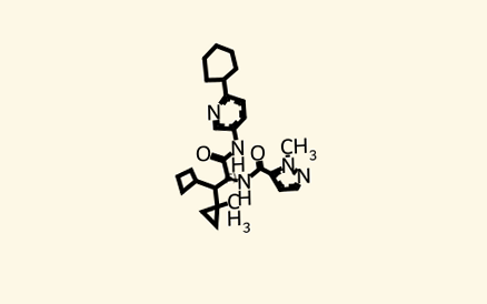 Cn1nccc1C(=O)N[C@H](C(=O)Nc1ccc(C2CCCCC2)nc1)C(C1CCC1)C1(C)CC1